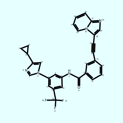 O=C(Nc1cc(-n2cnc(C3CC3)c2)cc(C(F)(F)F)c1)c1cccc(C#Cc2cnc3ccccn23)c1